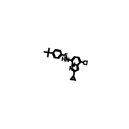 CC(C)(C)c1ccc(SNc2ccc(Cl)c3cc(C4CC4)nn23)cc1